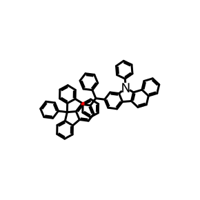 c1ccc(-c2ccccc2C2(c3ccccc3)c3ccccc3-c3ccc(C(c4ccccc4)c4ccc5c6ccc7ccccc7c6n(-c6ccccc6)c5c4)cc32)cc1